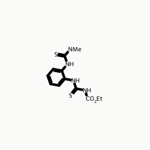 CCOC(=O)NC(=S)Nc1ccccc1NC(=S)NC